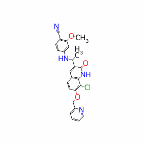 COc1cc(NC(C)c2cc3ccc(OCc4ccccn4)c(Cl)c3[nH]c2=O)ccc1C#N